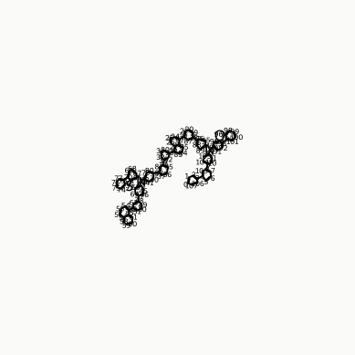 c1ccc(-c2cccc(-c3ccc(N(c4ccc(-c5cccc(-c6cccc7c(-c8cccc(-c9cccc(-c%10ccc(N(c%11ccc(-c%12cccc(-c%13cccc%14ccccc%13%14)c%12)cc%11)c%11cccc%12c%11sc%11ccccc%11%12)cc%10)c9)c8)cccc67)c5)cc4)c4ccc5c(c4)oc4ccccc45)cc3)c2)cc1